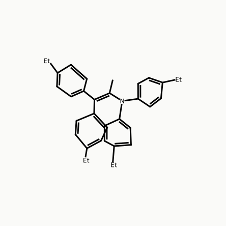 CCc1ccc(C(=C(C)N(c2ccc(CC)cc2)c2ccc(CC)cc2)c2ccc(CC)cc2)cc1